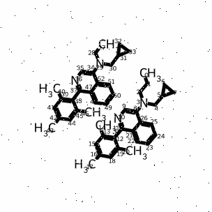 CCCN(CC1CC1)c1cnc(-c2c(C)cc(C)cc2C)c2ccccc12.CCN(CC1CC1)c1cnc(-c2c(C)cc(C)cc2C)c2ccccc12